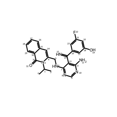 CC(C)n1c(CNc2ncnc(N)c2C(=N)c2cc(O)cc(F)c2)cc2ccccc2c1=O